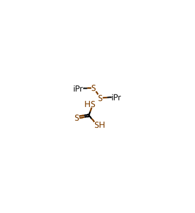 CC(C)SSC(C)C.S=C(S)S